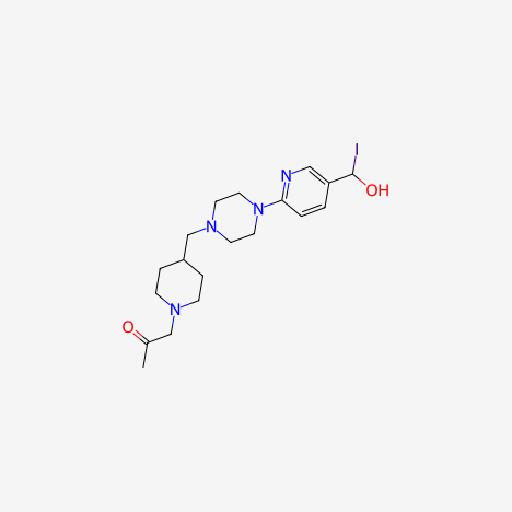 CC(=O)CN1CCC(CN2CCN(c3ccc(C(O)I)cn3)CC2)CC1